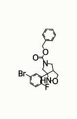 O=C(OCc1ccccc1)N1CC2CONC2(c2cc(Br)ccc2F)C1